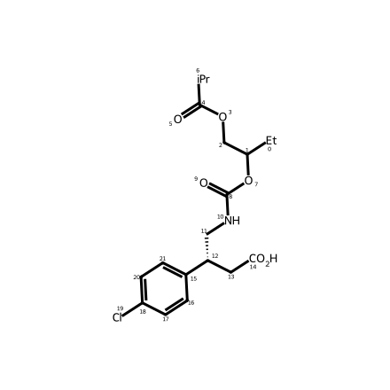 CCC(COC(=O)C(C)C)OC(=O)NC[C@H](CC(=O)O)c1ccc(Cl)cc1